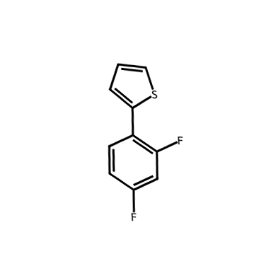 Fc1ccc(-c2cccs2)c(F)c1